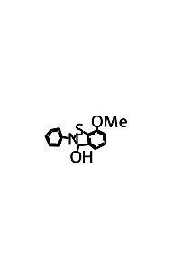 COc1cccc2c1SN(c1ccccc1)C2O